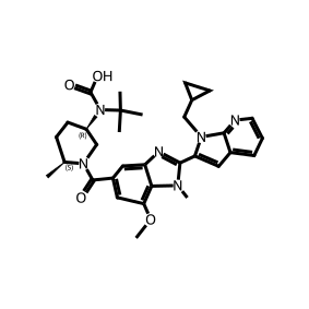 COc1cc(C(=O)N2C[C@H](N(C(=O)O)C(C)(C)C)CC[C@@H]2C)cc2nc(-c3cc4cccnc4n3CC3CC3)n(C)c12